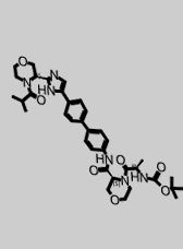 CC(C)C(=O)N1CCOC[C@H]1c1ncc(-c2ccc(-c3ccc(NC(=O)[C@@H]4COCCN4C(=O)[C@@H](C)NC(=O)OC(C)(C)C)cc3)cc2)[nH]1